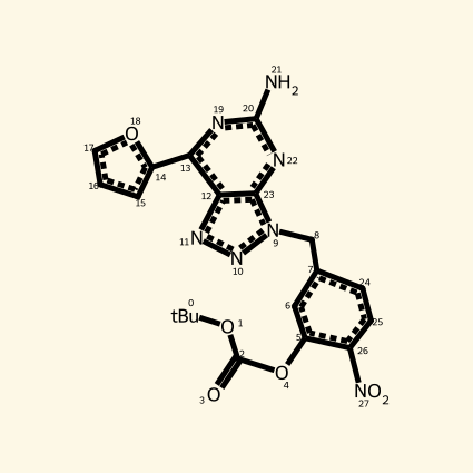 CC(C)(C)OC(=O)Oc1cc(Cn2nnc3c(-c4ccco4)nc(N)nc32)ccc1[N+](=O)[O-]